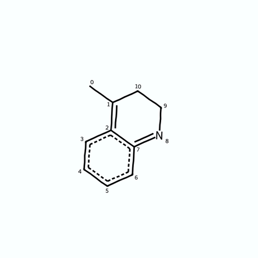 CC1=c2ccccc2=NCC1